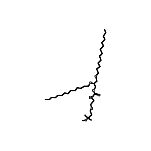 CCCCCCCCCCCCCCOCC(COC(=O)NCCOCCC(C)(C)OC)OCCCCCCCCCCCCCC